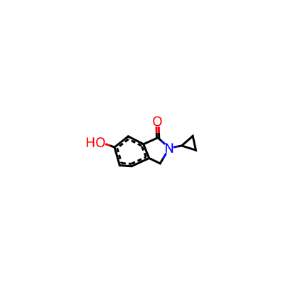 O=C1c2cc(O)ccc2CN1C1CC1